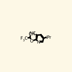 CC(C)c1cnc(OC(C)C(F)(F)F)c(C#N)c1